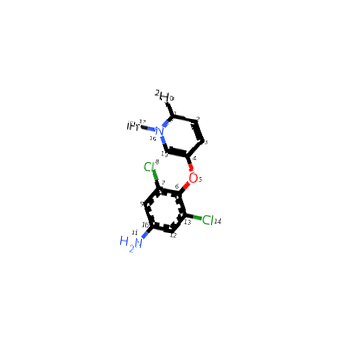 [2H]C1C=CC(Oc2c(Cl)cc(N)cc2Cl)=CN1C(C)C